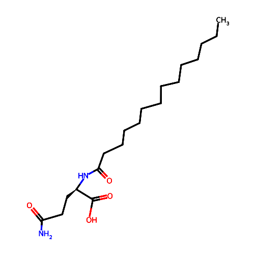 CCCCCCCCCCCCCC(=O)N[C@H](CCC(N)=O)C(=O)O